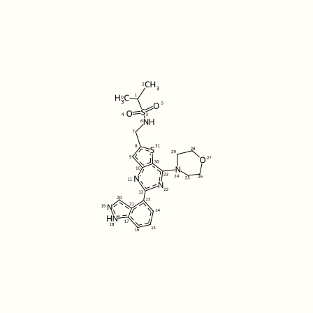 CC(C)S(=O)(=O)NCc1cc2nc(-c3cccc4[nH]ncc34)nc(N3CCOCC3)c2s1